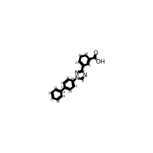 O=C(O)C1=CC(c2ncn(-c3ccc(-c4ccccc4)cc3)n2)=CCC1